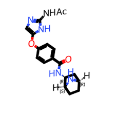 CC(=O)Nc1ncc(Oc2ccc(C(=O)N[C@@H]3C[C@H]4CC[C@@H]3N4)cc2)[nH]1